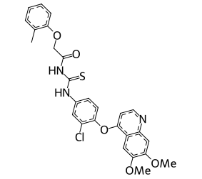 COc1cc2nccc(Oc3ccc(NC(=S)NC(=O)COc4ccccc4C)cc3Cl)c2cc1OC